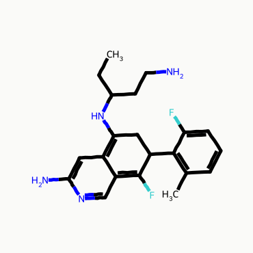 CCC(CCN)NC1=c2cc(N)ncc2=C(F)C(c2c(C)cccc2F)C1